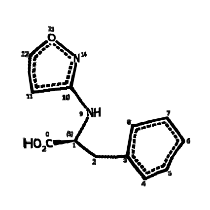 O=C(O)[C@H](Cc1ccccc1)Nc1ccon1